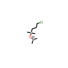 C[SiH](C)O[Si](C)(C)CCCCl